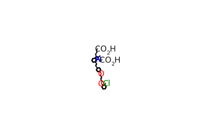 Cc1c(CCCC(=O)O)c2cccc(C=Cc3ccc(OCC=CCOc4ccccc4Cl)cc3)c2n1CC(=O)O